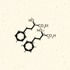 CCOC(=O)[C@H](O)CCc1ccccc1.O=C(O)[C@H](O)CCc1ccccc1